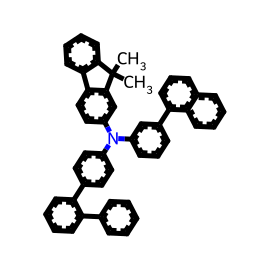 CC1(C)c2ccccc2-c2ccc(N(c3ccc(-c4ccccc4-c4ccccc4)cc3)c3cccc(-c4cccc5ccccc45)c3)cc21